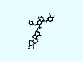 O=C1CCC(N2Cc3cc(CNc4cc5c(Nc6ccc(F)c(Cl)c6)ncnc5cc4OC4CCOC4)cc(F)c3C2=O)C(=O)N1